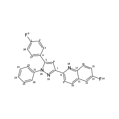 Fc1ccc(-c2cc(-c3ccc4cc(F)ccc4n3)nn2-c2ccccc2)cc1